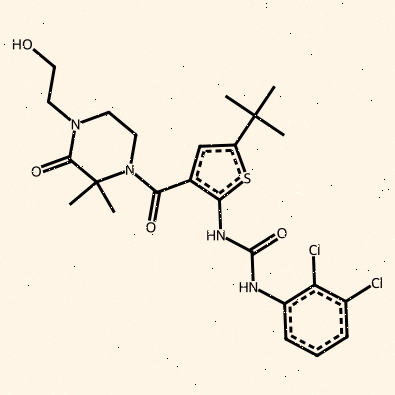 CC(C)(C)c1cc(C(=O)N2CCN(CCO)C(=O)C2(C)C)c(NC(=O)Nc2cccc(Cl)c2Cl)s1